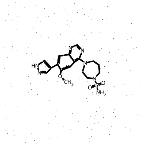 COc1cc2c(N3CCCN(S(N)(=O)=O)CC3)ncnc2cc1-c1cn[nH]c1